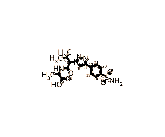 CC(NC(=O)C(C(C)C)n1cc(-c2ccc(S(N)(=O)=O)cc2)nn1)C(=O)O